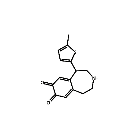 Cc1ccc(C2CNCCC3=CC(=O)C(=O)C=C32)s1